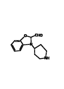 O=CC1Oc2ccccc2N1C1CCNCC1